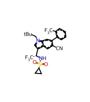 CC(C)(C)Cn1cc([C@H](NS(=O)(=O)C2CC2)C(F)(F)F)c2cc(C#N)c(-c3ccccc3C(F)(F)F)cc21